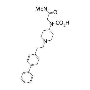 CNC(=O)CN(C(=O)O)C1CCN(CCc2ccc(-c3ccccc3)cc2)CC1